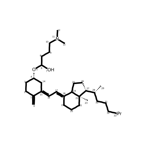 C=C1CC[C@H](OC(O)CCCN(C)C)C/C1=C\C=C1/CCC[C@@]2(C)C1CC[C@@H]2[C@H](C)CCCC(C)C